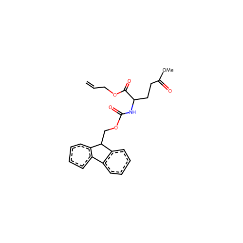 C=CCOC(=O)C(CCC(=O)OC)NC(=O)OCC1c2ccccc2-c2ccccc21